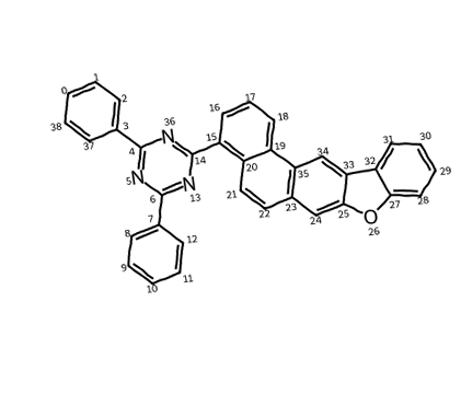 c1ccc(-c2nc(-c3ccccc3)nc(-c3cccc4c3ccc3cc5oc6ccccc6c5cc34)n2)cc1